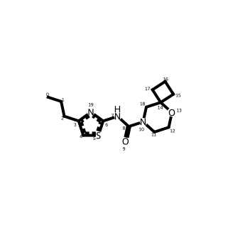 CCCc1csc(NC(=O)N2CCOC3(CCC3)C2)n1